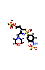 CS(=O)(=O)Nc1ccc(S(=O)(CCCCOS(C)(=O)=O)=NCCN2CCOCC2)cc1